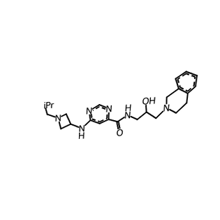 CC(C)CN1CC(Nc2cc(C(=O)NCC(O)CN3CCc4ccccc4C3)ncn2)C1